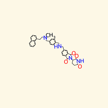 CN(CCc1cccc2ccccc12)Cc1ccc(CNCc2ccc3c(c2)C(=O)N(C2CCC(=O)NC2=O)C3=O)cc1